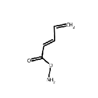 C=C/C=C/C(=O)ON